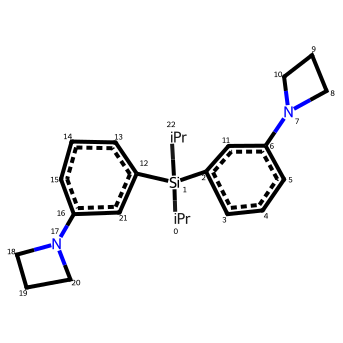 CC(C)[Si](c1cccc(N2CCC2)c1)(c1cccc(N2CCC2)c1)C(C)C